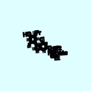 CCO[PH](COc1cc(Cl)c2c(c1)CCC2c1cc(C(C)C)c(O)cc1F)(OC)OCC